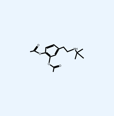 CC(=O)Oc1ccc(CCNC(C)(C)C)cc1OC(C)=O